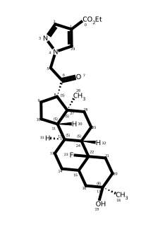 CCOC(=O)c1cnn(CC(=O)[C@H]2CC[C@H]3[C@@H]4CCC5C[C@](C)(O)CCC5(F)[C@H]4CC[C@]23C)c1